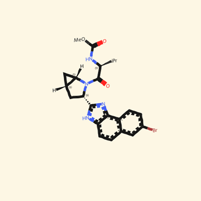 COC(=O)N[C@H](C(=O)N1[C@H](c2nc3c(ccc4cc(Br)ccc43)[nH]2)C[C@@H]2C[C@@H]21)C(C)C